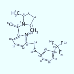 CC1CCC(C)N1C(=O)c1cccc(CSc2cccc(C(F)(F)F)c2)n1